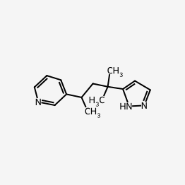 CC(CC(C)(C)c1ccn[nH]1)c1cccnc1